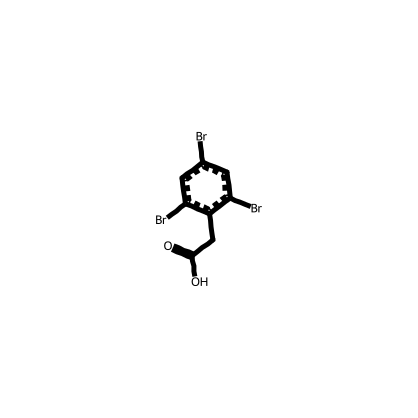 O=C(O)Cc1c(Br)cc(Br)cc1Br